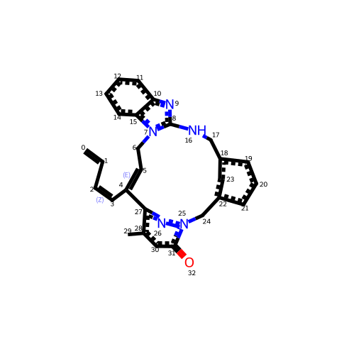 C=C/C=C\C1=C/Cn2c(nc3ccccc32)NCc2cccc(c2)Cn2nc1c(C)cc2=O